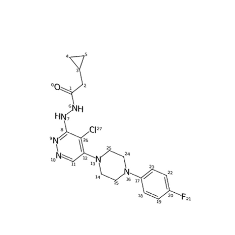 O=C(CC1CC1)NNc1nncc(N2CCN(c3ccc(F)cc3)CC2)c1Cl